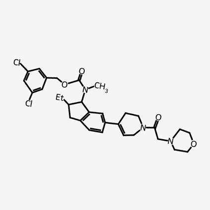 CCC1Cc2ccc(C3=CCN(C(=O)CN4CCOCC4)CC3)cc2C1N(C)C(=O)OCc1cc(Cl)cc(Cl)c1